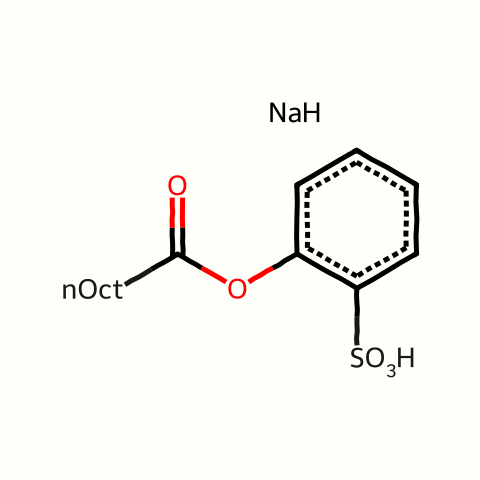 CCCCCCCCC(=O)Oc1ccccc1S(=O)(=O)O.[NaH]